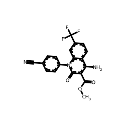 COC(=O)c1c(N)c2ccc(C(F)(F)F)cc2n(-c2ccc(C#N)cc2)c1=O